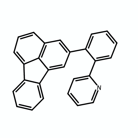 c1ccc(-c2ccccc2-c2cc3c4c(cccc4c2)-c2ccccc2-3)nc1